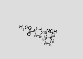 COC(=O)C1CCC(/C(=N/O)c2cccnc2Cl)CC1